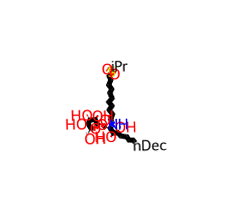 CCCCCCCCCCCCCC[C@@H](O)[C@@H](O)[C@H](CO[C@H]1O[C@H](CO)[C@H](O)[C@H](O)[C@H]1O)NC(=O)CCCCCCCCCCS(=O)(=O)C(C)C